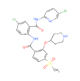 CS(=O)(=O)c1ccc(C(=O)Nc2ccc(Cl)cc2C(=O)Nc2ccc(Cl)cn2)c(OC2CCNCC2)c1